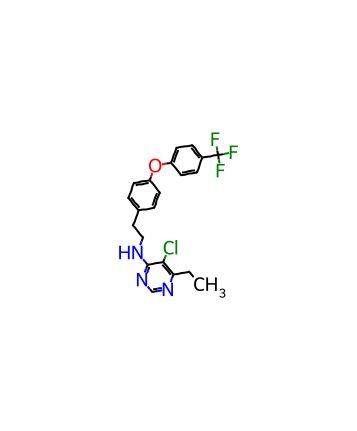 CCc1ncnc(NCCc2ccc(Oc3ccc(C(F)(F)F)cc3)cc2)c1Cl